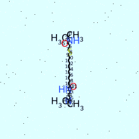 CC(C)NC(=O)CCSCCCCCCCCCCCC(=O)NCCCN(C)C